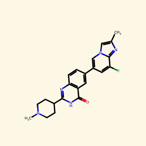 Cc1cn2cc(-c3ccc4nc(C5CCN(C)CC5)[nH]c(=O)c4c3)cc(F)c2n1